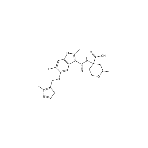 Cc1ncsc1COc1cc2c(C(=O)NC3(C(=O)O)CCOC(C)C3)c(C)oc2cc1F